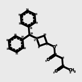 CC(=O)CC(=O)OC1CN(C(c2ccccc2)c2ccccc2)C1